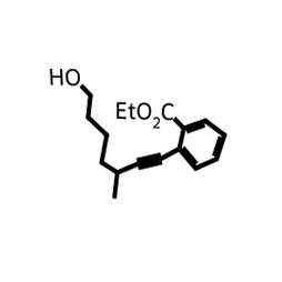 CCOC(=O)c1ccccc1C#CC(C)CCCCO